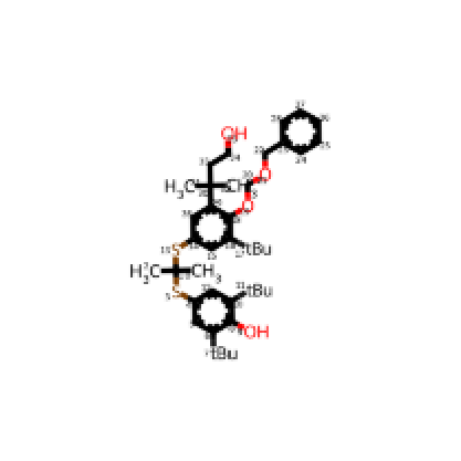 CC(C)(Sc1cc(C(C)(C)C)c(O)c(C(C)(C)C)c1)Sc1cc(C(C)(C)C)c(OCOCc2ccccc2)c(C(C)(C)CCO)c1